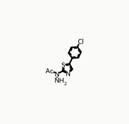 CC(=O)N(N)c1ncc(-c2ccc(Cl)cc2)s1